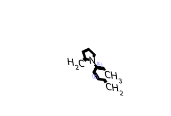 C=C/C=C\C(=C/C)N1CCCC1=C